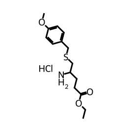 CCOC(=O)CCC(N)CSCc1ccc(OC)cc1.Cl